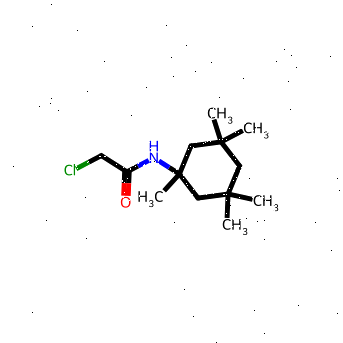 CC1(C)CC(C)(C)CC(C)(NC(=O)CCl)C1